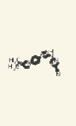 CN(C)C1CCN(c2ccc(-n3cnc(Nc4cnc(C#N)cn4)c3)cc2)C1